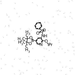 CC(C)Oc1ncc(B2OC(C)(C)C(C)(C)O2)cc1NS(=O)(=O)c1ccccc1